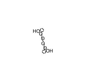 Oc1ccccc1OCCOCCOCCOc1ccccc1O